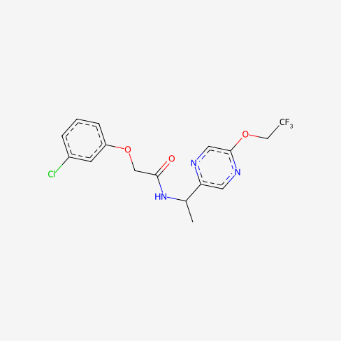 CC(NC(=O)COc1cccc(Cl)c1)c1cnc(OCC(F)(F)F)cn1